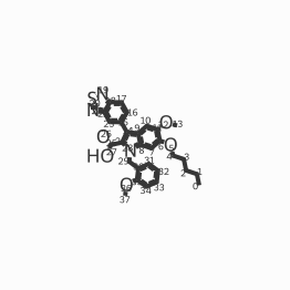 CCCCCOc1cc2c(cc1OC)c(-c1ccc3nsnc3c1)c(C(=O)O)n2Cc1ccccc1OC